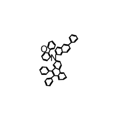 c1ccc(-c2ccc3cc(N(c4ccc5c(c4)c(-c4ccccc4)c(-c4ccccc4)c4ccccc45)c4cccc5oc6ccccc6c45)ccc3c2)cc1